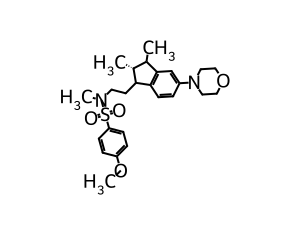 COc1ccc(S(=O)(=O)N(C)CCC2c3ccc(N4CCOCC4)cc3C(C)[C@H]2C)cc1